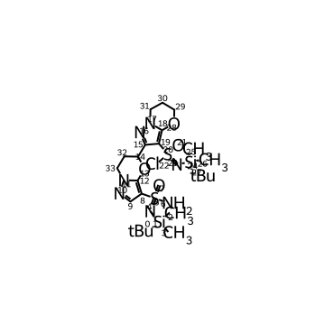 CC(C)(C)[Si](C)(C)N=S(N)(=O)c1cnn2c1OC(c1nn3c(c1S(=O)(Cl)=N[Si](C)(C)C(C)(C)C)OCCC3)CC2